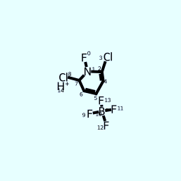 FN1C(Cl)=CC=CC1Cl.F[B-](F)(F)F.[H+]